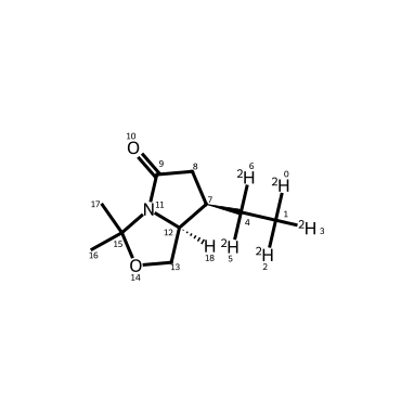 [2H]C([2H])([2H])C([2H])([2H])[C@@H]1CC(=O)N2[C@@H]1COC2(C)C